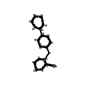 O=c1cnccn1Cc1ccc(-c2ccccc2)cc1